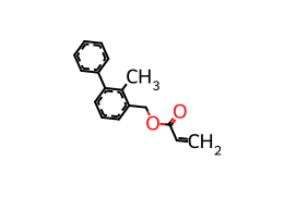 C=CC(=O)OCc1cccc(-c2ccccc2)c1C